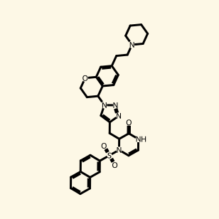 O=C1NC=CN(S(=O)(=O)c2ccc3ccccc3c2)C1Cc1cn(C2CCOc3cc(CCN4CCCCC4)ccc32)nn1